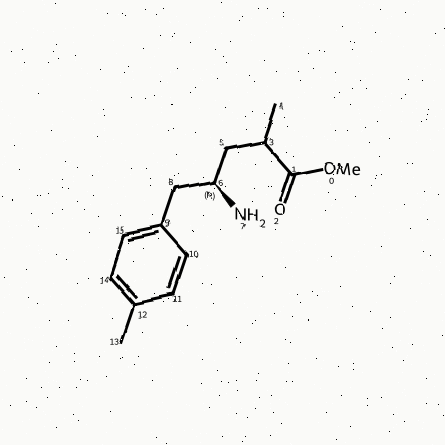 COC(=O)C(C)C[C@@H](N)Cc1ccc(C)cc1